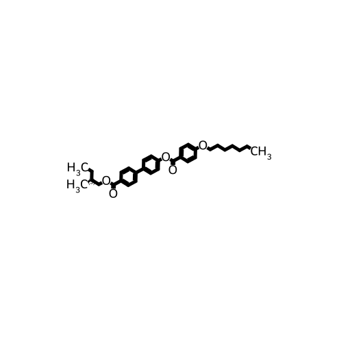 CCCCCCCOc1ccc(C(=O)Oc2ccc(-c3ccc(C(=O)OC[C@@H](C)CC)cc3)cc2)cc1